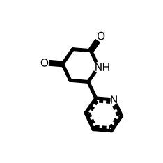 O=C1CC(=O)NC(c2ccccn2)C1